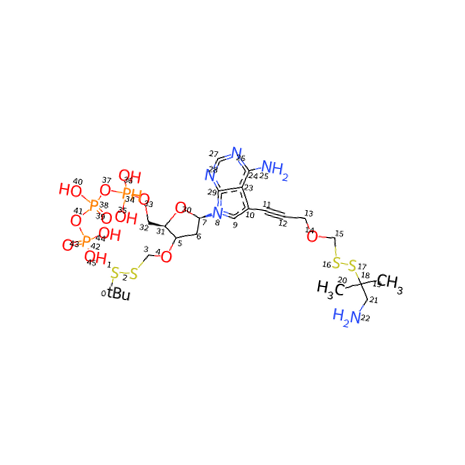 CC(C)(C)SSCOC1C[C@H](n2cc(C#CCOCSSC(C)(C)CN)c3c(N)ncnc32)O[C@@H]1CO[PH](O)(O)OP(=O)(O)OP(=O)(O)O